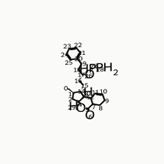 C[C@@H]1C[C@@H]2OC(=O)C3CCC=CC3[C@@H]2[C@H]1CC[C@H](CCc1ccccc1)OPP